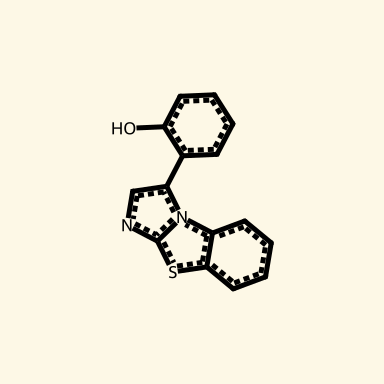 Oc1ccccc1-c1cnc2sc3ccccc3n12